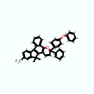 CC1(C)c2cc(C(F)(F)F)ccc2-c2c1c1c(c3ccccc23)OC(c2ccccc2)(c2ccc(Oc3ccccc3)cc2)C=C1